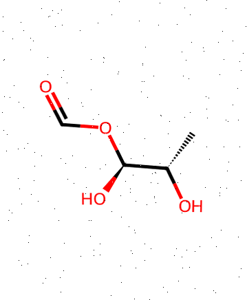 C[C@H](O)[C@@H](O)OC=O